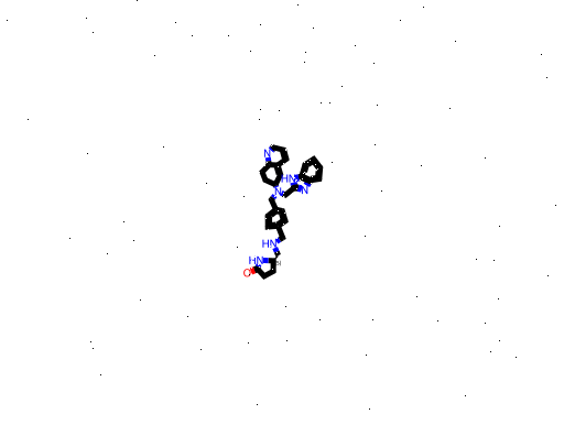 O=C1CC[C@@H](CNCc2ccc(CN(Cc3nc4ccccc4[nH]3)C3C=C4C=CC=NC4CC3)cc2)N1